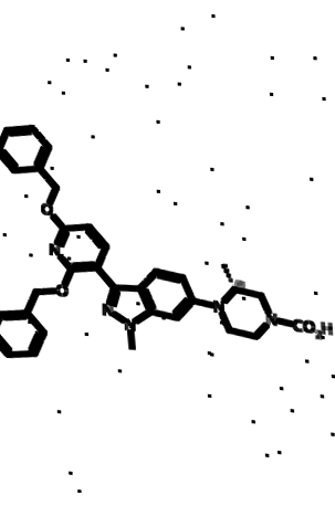 C[C@@H]1CN(C(=O)O)CCN1c1ccc2c(-c3ccc(OCc4ccccc4)nc3OCc3ccccc3)nn(C)c2c1